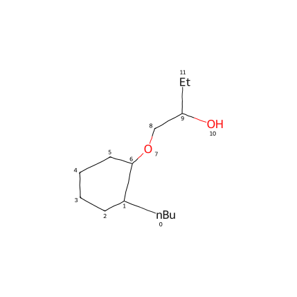 CCCCC1CCCCC1OCC(O)CC